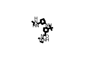 CC(C)NC(=N)c1cccc(Nc2ccc(C(=O)/N=C3\NCCN3C)cc2C(C)(C)C)c1